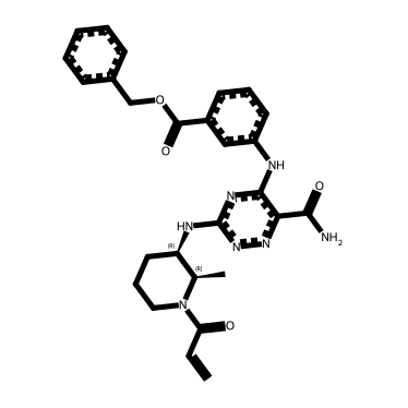 C=CC(=O)N1CCC[C@@H](Nc2nnc(C(N)=O)c(Nc3cccc(C(=O)OCc4ccccc4)c3)n2)[C@H]1C